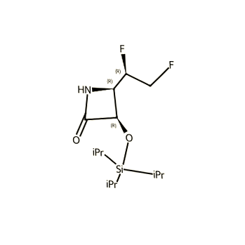 CC(C)[Si](O[C@H]1C(=O)N[C@H]1[C@@H](F)CF)(C(C)C)C(C)C